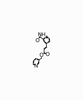 NC(=O)c1cccc(C=CC(=O)OCc2cccnc2)c1